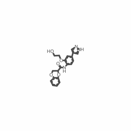 O=C(Nc1ccc(-c2cn[nH]c2)cc1OCCO)C1COc2ccccc2O1